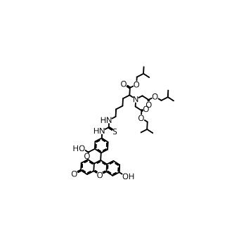 CC(C)COC(=O)CN(CC(=O)OCC(C)C)C(CCCCNC(=S)Nc1ccc(-c2c3ccc(=O)cc-3oc3cc(O)ccc23)c(C(=O)O)c1)C(=O)OCC(C)C